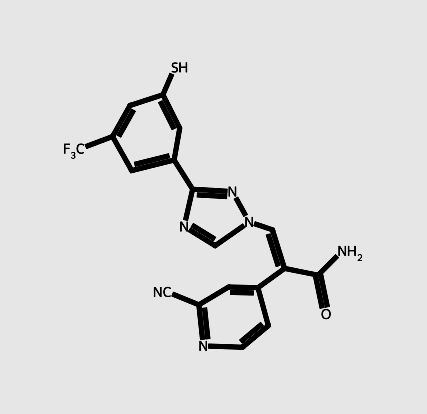 N#Cc1cc(/C(=C\n2cnc(-c3cc(S)cc(C(F)(F)F)c3)n2)C(N)=O)ccn1